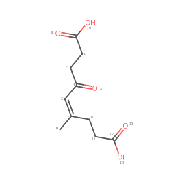 C/C(=C/C(=O)CCC(=O)O)CCC(=O)O